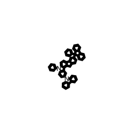 c1ccc(-n2c3ccc(-n4c5ccccc5c5ccccc54)cc3c3c4c(ccc32)-c2cc(C3(c5ccccc5)c5ccccc5-c5ccccc53)ccc2C4)cc1